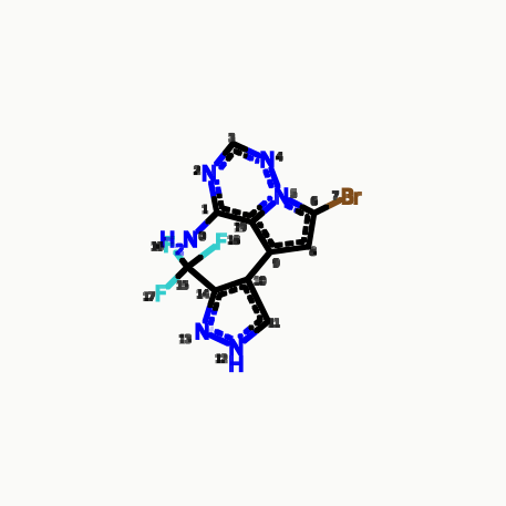 Nc1ncnn2c(Br)cc(-c3c[nH]nc3C(F)(F)F)c12